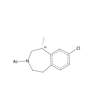 CC(=O)N1CCc2ccc(Cl)cc2[C@@H](C)C1